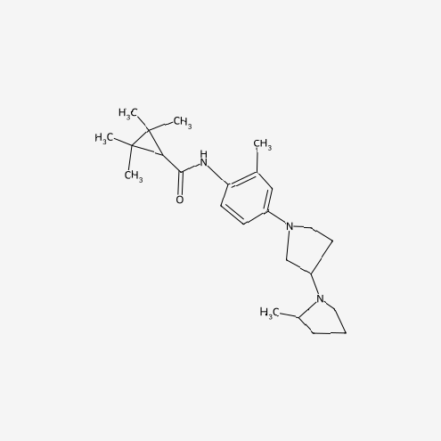 Cc1cc(N2CCC(N3CCCC3C)C2)ccc1NC(=O)C1C(C)(C)C1(C)C